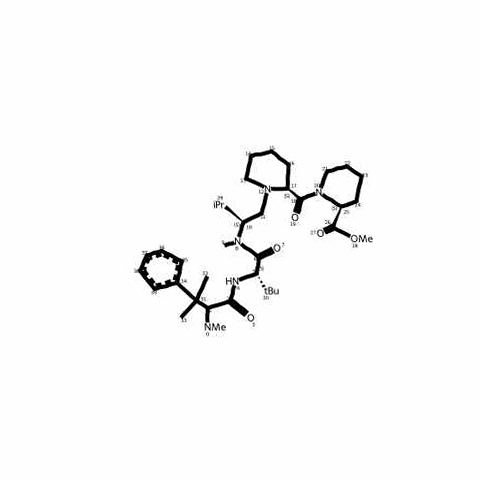 CNC(C(=O)N[C@H](C(=O)N(C)[C@H](CN1CCCC[C@H]1C(=O)N1CCCC[C@H]1C(=O)OC)C(C)C)C(C)(C)C)C(C)(C)c1ccccc1